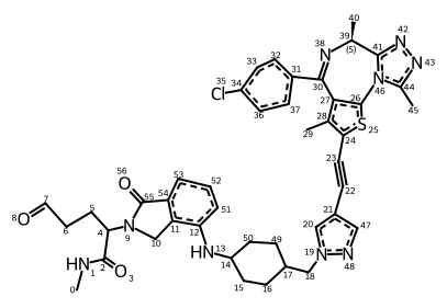 CNC(=O)C(CCC=O)N1Cc2c(NC3CCC(Cn4cc(C#Cc5sc6c(c5C)C(c5ccc(Cl)cc5)=N[C@@H](C)c5nnc(C)n5-6)cn4)CC3)cccc2C1=O